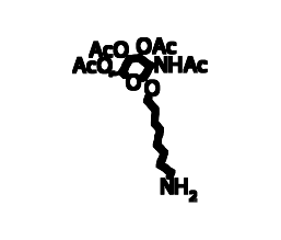 CC(=O)N[C@H]1[C@H](OCCCCCCCCN)O[C@H](COC(C)=O)[C@H](OC(C)=O)[C@@H]1OC(C)=O